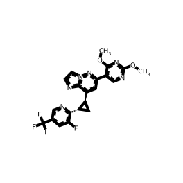 COc1ncc(-c2cc([C@H]3C[C@@H]3c3ncc(C(F)(F)F)cc3F)c3nccn3n2)c(OC)n1